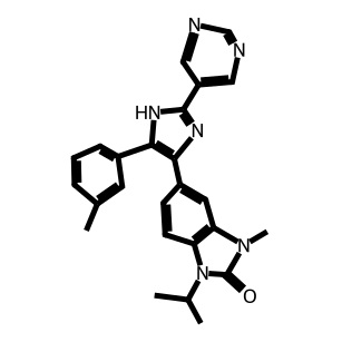 Cc1cccc(-c2[nH]c(-c3cncnc3)nc2-c2ccc3c(c2)n(C)c(=O)n3C(C)C)c1